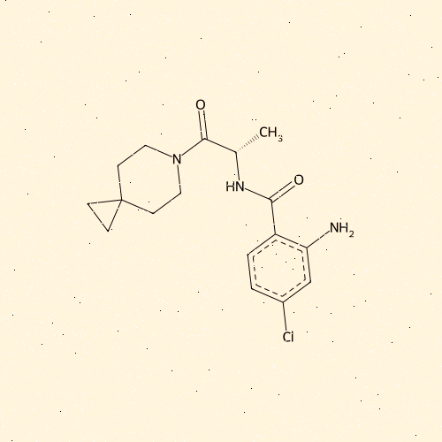 C[C@H](NC(=O)c1ccc(Cl)cc1N)C(=O)N1CCC2(CC1)CC2